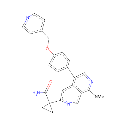 CNc1ncc(-c2ccc(OCc3ccncc3)cc2)c2cc(C3(C(N)=O)CC3)ncc12